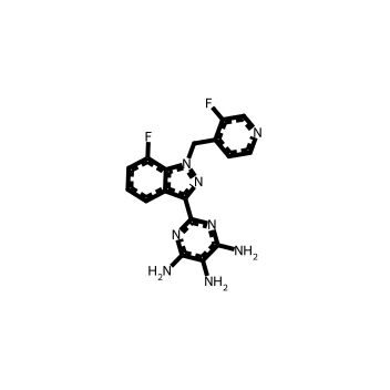 Nc1nc(-c2nn(Cc3ccncc3F)c3c(F)cccc23)nc(N)c1N